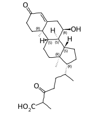 CC(C(=O)O)C(=O)CCC(C)[C@H]1CC[C@H]2[C@@H]3[C@H](O)CC4=CC(=O)CC[C@]4(C)[C@H]3CC[C@]12C